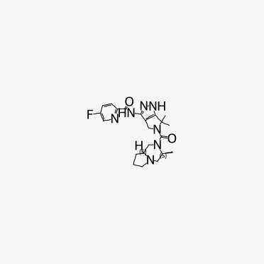 C[C@H]1CN2CCC[C@H]2CN1C(=O)N1Cc2c(NC(=O)c3ccc(F)cn3)n[nH]c2C1(C)C